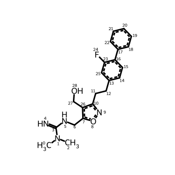 CN(C)C(=N)NCc1onc(CCc2ccc(-c3ccccc3)c(F)c2)c1CO